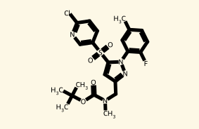 Cc1ccc(F)c(-n2nc(CN(C)C(=O)OC(C)(C)C)cc2S(=O)(=O)c2ccc(Cl)nc2)c1